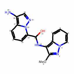 COc1nn2ccccc2c1NC(O)c1cccc2c(N)cnn12